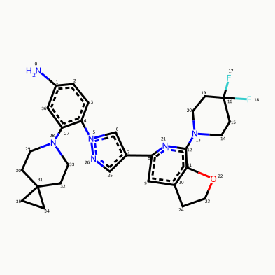 Nc1ccc(-n2cc(-c3cc4c(c(N5CCC(F)(F)CC5)n3)OCC4)cn2)c(N2CCC3(CC2)CC3)c1